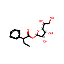 CCC(C(=O)O[C@H]1O[C@H]([C@@H](O)CO)[C@H](O)[C@@H]1O)c1ccccc1